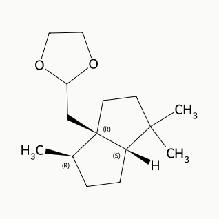 C[C@@H]1CC[C@H]2C(C)(C)CC[C@@]12CC1OCCO1